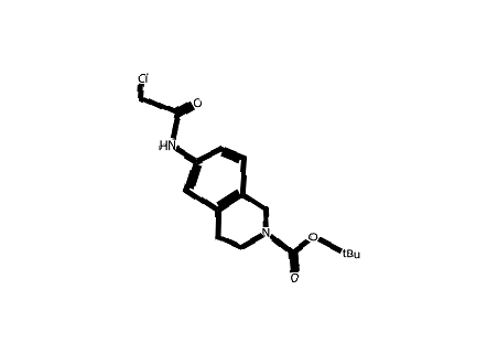 CC(C)(C)OC(=O)N1CCc2cc(NC(=O)CCl)ccc2C1